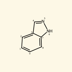 [c]1c[c]c2cn[nH]c2c1